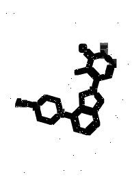 CC(=O)N1CCN(c2cccc3c2CN(c2cn[nH]c(=O)c2C)C3)CC1